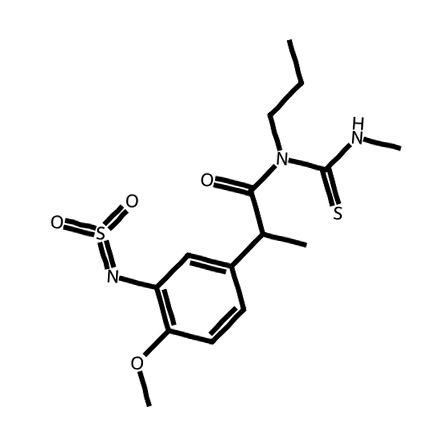 CCCN(C(=O)C(C)c1ccc(OC)c(N=S(=O)=O)c1)C(=S)NC